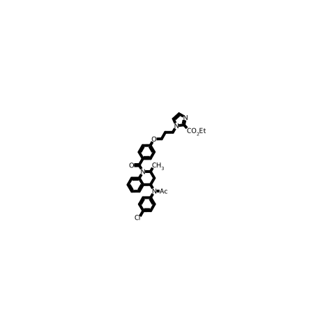 CCOC(=O)c1nccn1CCCOc1ccc(C(=O)N2c3ccccc3C(N(C(C)=O)c3ccc(Cl)cc3)CC2C)cc1